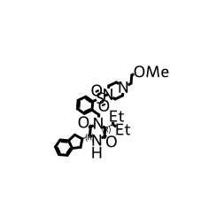 CCC(CC)[C@@H]1C(=O)N[C@H](C2Cc3ccccc3C2)C(=O)N1Cc1ccccc1S(=O)(=O)N1CCN(CCOC)CC1